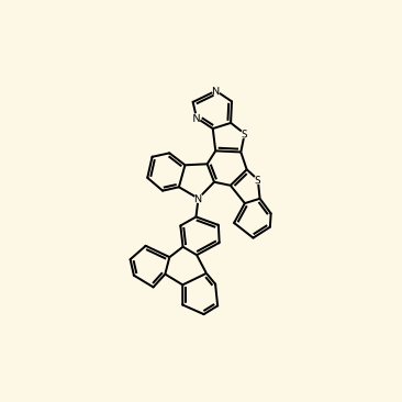 c1ccc2c(c1)sc1c3sc4cncnc4c3c3c4ccccc4n(-c4ccc5c6ccccc6c6ccccc6c5c4)c3c21